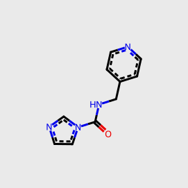 O=C(NCc1ccncc1)n1ccnc1